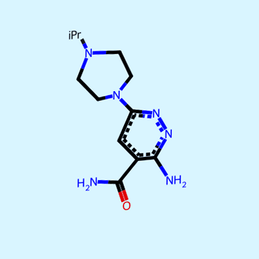 CC(C)N1CCN(c2cc(C(N)=O)c(N)nn2)CC1